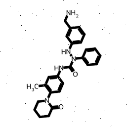 Cc1cc(NC(=O)N(Nc2cccc(CN)c2)c2ccccc2)ccc1N1CCCCC1=O